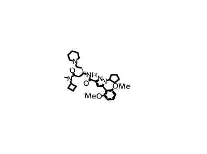 COc1cccc(OC)c1-c1cc(C(=O)N[C@@H](CCN2CCCCC2)CC(=O)N(C)C2CCC2)nn1C1CCCC1